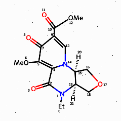 CCN1C(=O)c2c(OC)c(=O)c(C(=O)OC)cn2[C@H]2COC[C@H]21